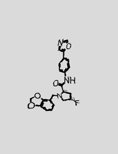 O=C(Nc1ccc(-c2cnco2)cc1)[C@H]1C[C@H](F)CN1Cc1cccc2c1OCO2